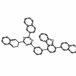 C1=c2ccccc2=CC(c2nc(-c3cccc(-c4ccc(-c5ccc6ccccc6c5)c5oc6ccccc6c45)c3)nc(-c3ccc4ccccc4c3)n2)C1